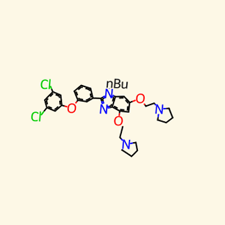 CCCCn1c(-c2cccc(Oc3cc(Cl)cc(Cl)c3)c2)nc2c(OCCN3CCCC3)cc(OCCN3CCCC3)cc21